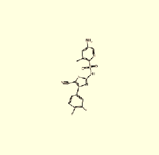 Cc1cc(N)cnc1S(=O)(=O)Nc1nc(-c2ccc(F)c(F)c2)c(C#N)s1